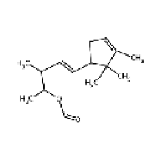 CC1=CCC(/C=C/C(C)C(C)OC=O)C1(C)C